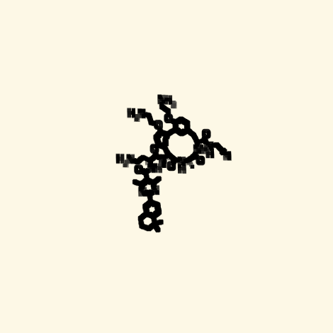 Cc1nc(-c2ccc3c(c2)CCCC3(C)C)nc(C)c1C(=O)N[C@@H](CCN)C(=O)N(C)[C@@H]1C(=O)N[C@@H](C)C(=O)N[C@H](C(=O)NCC#N)Cc2ccc(OCCN)c(c2)-c2cc1ccc2OCCN